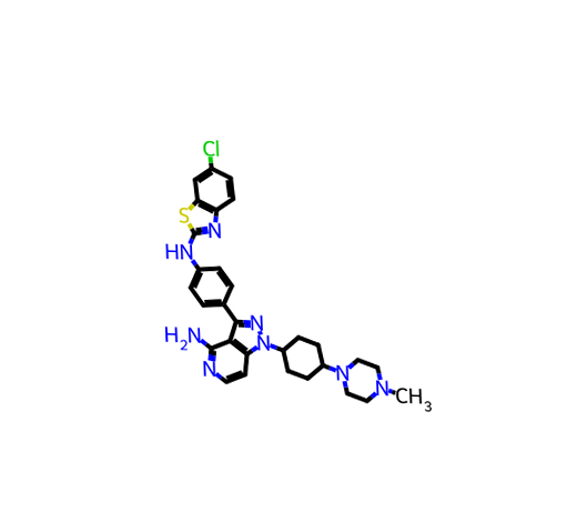 CN1CCN(C2CCC(n3nc(-c4ccc(Nc5nc6ccc(Cl)cc6s5)cc4)c4c(N)nccc43)CC2)CC1